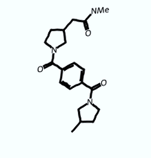 CNC(=O)CC1CCN(C(=O)c2ccc(C(=O)N3CCC(C)C3)cc2)C1